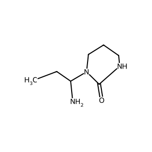 CCC(N)N1CCCNC1=O